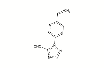 C=Cc1ccc(-n2ncnc2C=O)cc1